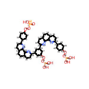 O=[PH](O)OOc1ccc(-c2ccc3ccc4ccc(-c5cc(OOP(O)O)cc(-c6ccc7ccc8ccc(-c9ccc(OOP(O)O)cc9)nc8c7n6)c5)nc4c3n2)cc1